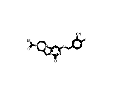 CCC(=O)N1CCN2c3cc(OCc4ccc(F)c(C#N)c4)nc(=O)n3CC2C1